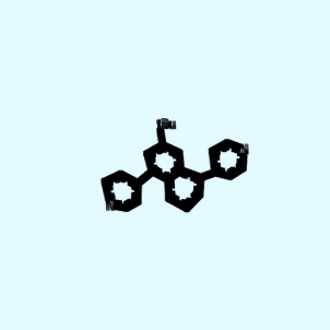 CC(C)(C)c1cc(-c2ccncc2)c2cccc(-c3ccncc3)c2c1